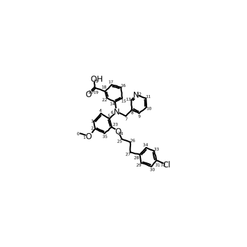 COc1ccc(N(Cc2cccnc2)c2cccc(C(=O)O)c2)c(OCCCc2ccc(Cl)cc2)c1